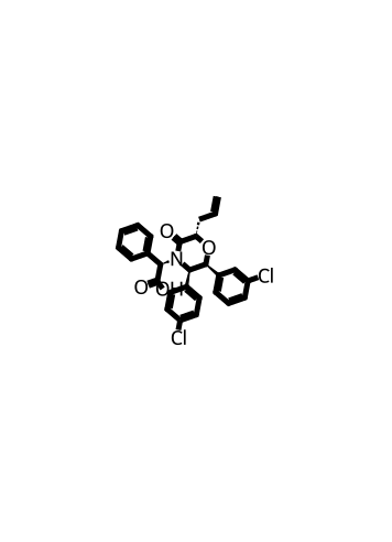 C=CC[C@@H]1O[C@@H](c2cccc(Cl)c2)[C@@H](c2ccc(Cl)cc2)N([C@H](C(=O)O)c2ccccc2)C1=O